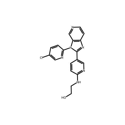 OCCNc1ccc(-c2nc3ccncc3n2-c2ccc(Cl)cn2)cn1